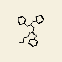 CCCCSC(CC(Sc1ccccc1)Sc1ccccc1)=Nc1ccccc1